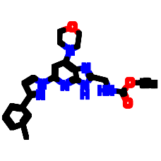 Cc1cccc(-c2ccn(-c3cc(N4CCOCC4)c4nc(CNC(=O)OC(C)(C)C)[nH]c4n3)n2)c1